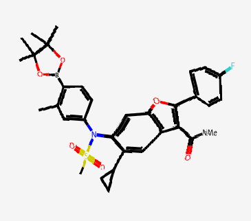 CNC(=O)c1c(-c2ccc(F)cc2)oc2cc(N(c3ccc(B4OC(C)(C)C(C)(C)O4)c(C)c3)S(C)(=O)=O)c(C3CC3)cc12